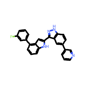 Fc1cccc(-c2cccc3[nH]c(-c4n[nH]c5ccc(-c6cccnc6)cc45)cc23)c1